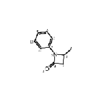 CC1CC(=O)N1c1ccccc1